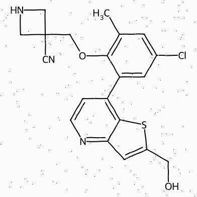 Cc1cc(Cl)cc(-c2ccnc3cc(CO)sc23)c1OCC1(C#N)CNC1